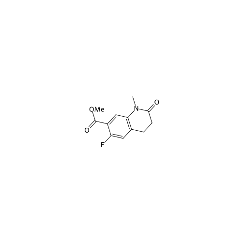 COC(=O)c1cc2c(cc1F)CCC(=O)N2C